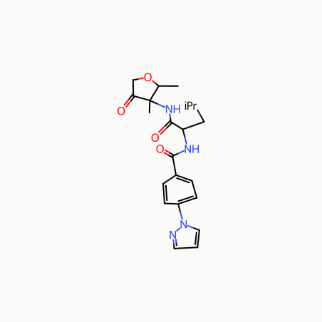 CC(C)CC(NC(=O)c1ccc(-n2cccn2)cc1)C(=O)NC1(C)C(=O)COC1C